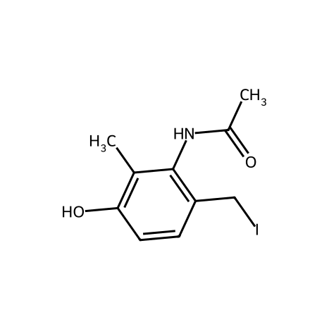 CC(=O)Nc1c(CI)ccc(O)c1C